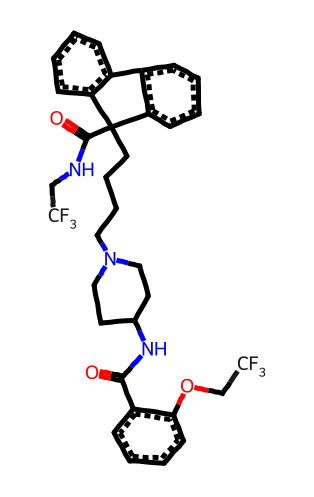 O=C(NC1CCN(CCCCC2(C(=O)NCC(F)(F)F)c3ccccc3-c3ccccc32)CC1)c1ccccc1OCC(F)(F)F